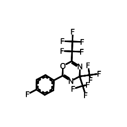 Fc1ccc(C2=NC(C(F)(F)F)(C(F)(F)F)N=C(C(F)(F)C(F)(F)F)O2)cc1